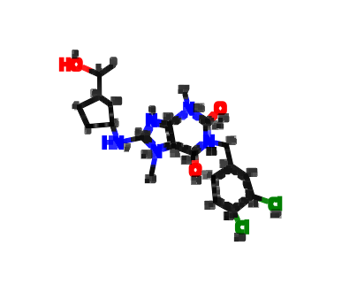 CC(O)C1CCC(Nc2nc3c(c(=O)n(Cc4ccc(Cl)c(Cl)c4)c(=O)n3C)n2C)C1